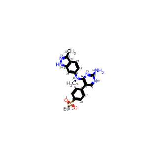 CCS(=O)(=O)c1ccc(-c2cnc(N)nc2N(C)c2ccc3c(C)n[nH]c3c2)cc1